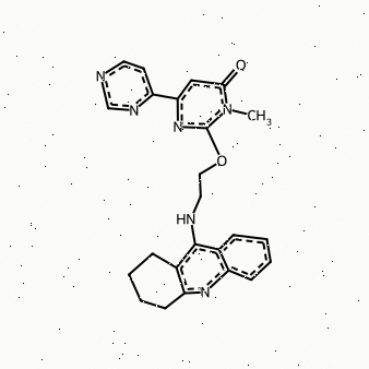 Cn1c(OCCNc2c3c(nc4ccccc24)CCCC3)nc(-c2ccncn2)cc1=O